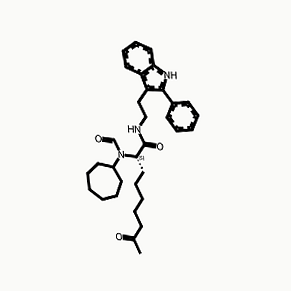 CC(=O)CCCCC[C@@H](C(=O)NCCc1c(-c2ccccc2)[nH]c2ccccc12)N(C=O)C1CCCCCC1